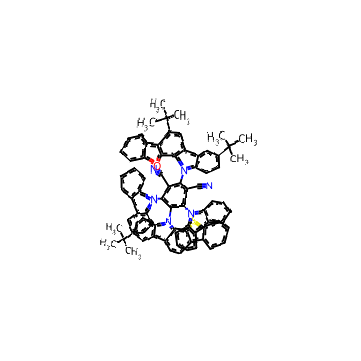 CC(C)(C)c1ccc2c(c1)c1cc(C(C)(C)C)c3c4ccccc4oc3c1n2-c1c(C#N)c(-n2c3ccccc3c3ccccc32)c(-n2c3ccc(C(C)(C)C)cc3c3ccc4c5ccccc5sc4c32)c(-n2c3ccccc3c3ccccc32)c1C#N